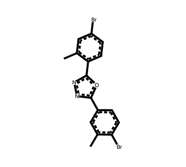 Cc1cc(-c2nnc(-c3ccc(Br)cc3C)o2)ccc1Br